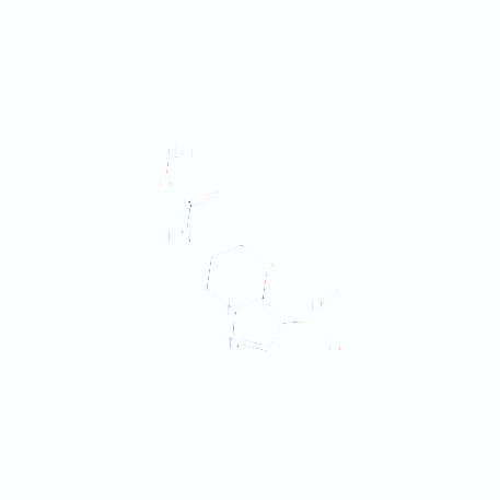 CC(C)(C)OC(=O)N[C@@H]1COc2c([SH](=O)=O)cnn2C1